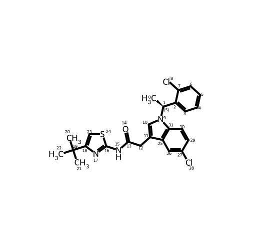 C[C@@H](c1ccccc1Cl)n1cc(CC(=O)Nc2nc(C(C)(C)C)cs2)c2cc(Cl)ccc21